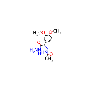 COc1ccc(C(=NNC(C)=O)C(=O)NN)cc1OC